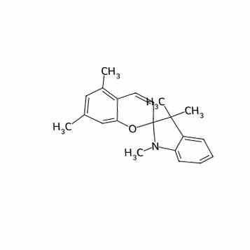 Cc1cc(C)c2c(c1)OC1(C=C2)N(C)c2ccccc2C1(C)C